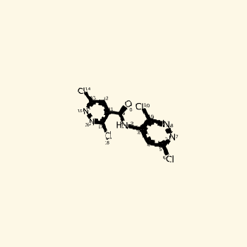 O=C(Nc1cc(Cl)nnc1Cl)c1cc(Cl)nnc1Cl